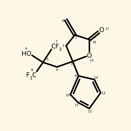 C=C1CC(CC(O)(C(F)(F)F)C(F)(F)F)(c2ccccc2)OC1=O